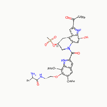 COC(=O)c1cc2c3c(cc(O)c2[nH]1)N(C(=O)c1cc2cc(OC)c(OCCNC(=O)C(N)C(C)C)c(OC)c2[nH]1)C[C@@H](OS(C)(=O)=O)C3